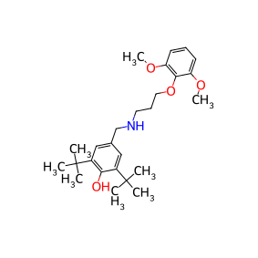 COc1cccc(OC)c1OCCCNCc1cc(C(C)(C)C)c(O)c(C(C)(C)C)c1